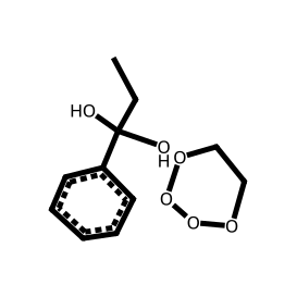 C1COOOO1.CCC(O)(O)c1ccccc1